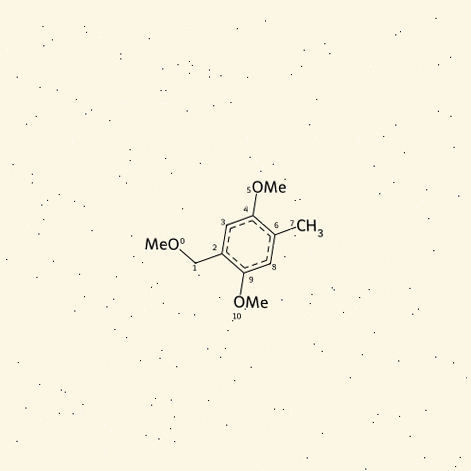 COCc1cc(OC)c(C)cc1OC